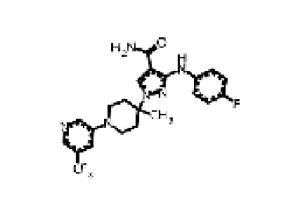 CC1(n2cc(C(N)=O)c(Nc3ccc(F)cc3)n2)CCN(c2cncc(C(F)(F)F)c2)CC1